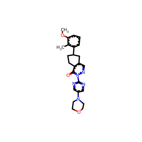 COc1cccc(C2CCc3c(cnn(-c4ncc(N5CCOCC5)cn4)c3=O)C2)c1C